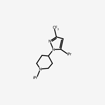 CC(C)c1cc(C(F)(F)F)nn1C1CCN(C(C)C)CC1